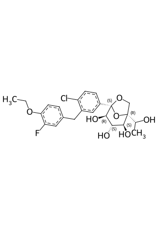 CCOc1ccc(Cc2cc([C@]34OC[C@](C(C)O)(O3)[C@@H](O)[C@H](O)[C@H]4O)ccc2Cl)cc1F